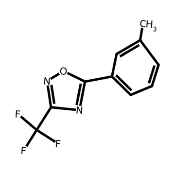 Cc1cccc(-c2nc(C(F)(F)F)no2)c1